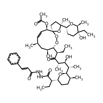 CCC(C(=O)NNC(=O)/C=C/c1ccccc1)[C@H]1CC[C@H](C)[C@H]([C@@H](C)[C@H](O)[C@H](C)C(=O)[C@H](CC)[C@H]2OO[C@@]3(CC[C@@](C)([C@H]4CC[C@](O)(CC)[C@H](C)O4)O3)[C@H](OC(C)=O)/C=C\[C@H](C)C[C@@H]2C)O1